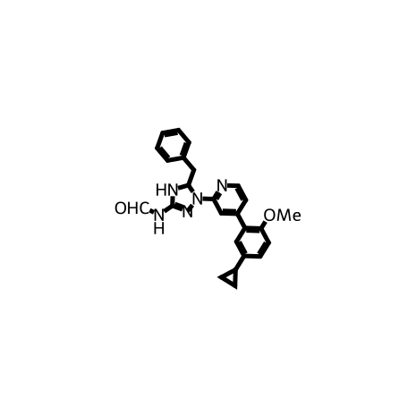 COc1ccc(C2CC2)cc1-c1ccnc(N2N=C(NC=O)NC2Cc2ccccc2)c1